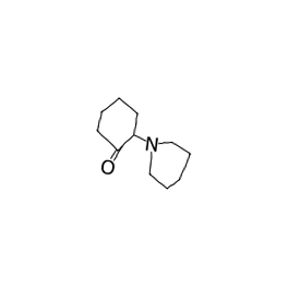 O=C1CCCCC1N1CCCCC1